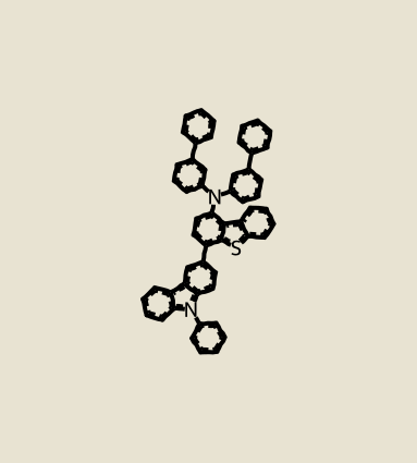 c1ccc(-c2cccc(N(c3cccc(-c4ccccc4)c3)c3ccc(-c4ccc5c(c4)c4ccccc4n5-c4ccccc4)c4sc5ccccc5c34)c2)cc1